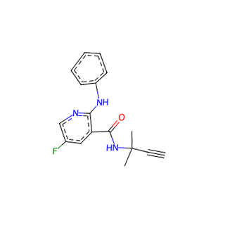 C#CC(C)(C)NC(=O)c1cc(F)cnc1Nc1ccccc1